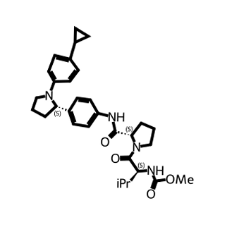 COC(=O)N[C@H](C(=O)N1CCC[C@H]1C(=O)Nc1ccc([C@@H]2CCCN2c2ccc(C3CC3)cc2)cc1)C(C)C